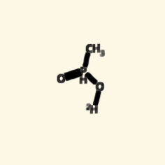 [2H]O[PH](C)=O